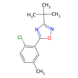 Cc1ccc(Cl)c(-c2nc(C(C)(C)C)no2)c1